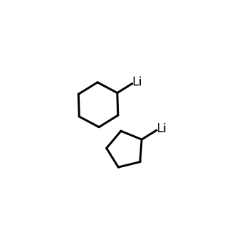 [Li][CH]1CCCC1.[Li][CH]1CCCCC1